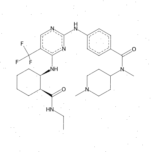 CCNC(=O)[C@H]1CCCC[C@H]1Nc1nc(Nc2ccc(C(=O)N(C)C3CCN(C)CC3)cc2)ncc1C(F)(F)F